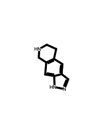 c1n[nH]c2cc3c(cc12)CCNC3